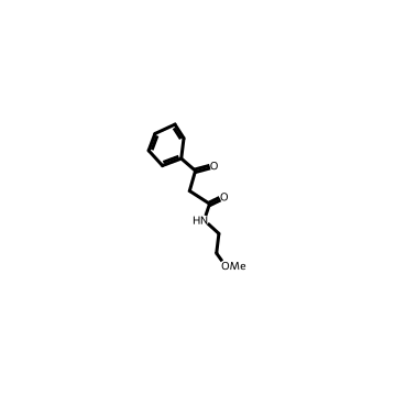 COCCNC(=O)CC(=O)c1ccccc1